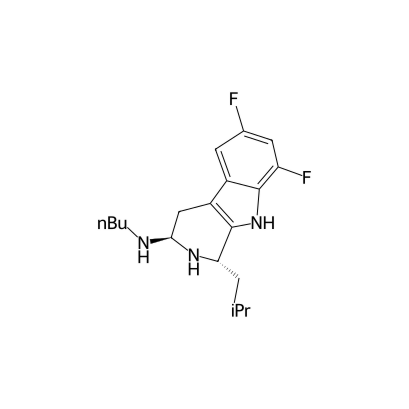 CCCCN[C@H]1Cc2c([nH]c3c(F)cc(F)cc23)[C@H](CC(C)C)N1